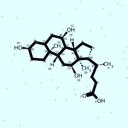 C[C@H](CCC(=O)O)[C@H]1CC[C@H]2C3[C@H](O)CC4C[C@H](O)CC[C@]4(C)[C@H]3C[C@H](O)[C@]12C